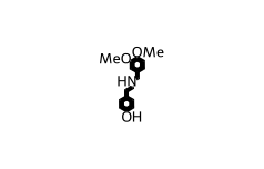 COc1ccc(CNCCc2ccc(O)cc2)cc1OC